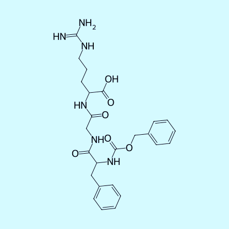 N=C(N)NCCCC(NC(=O)CNC(=O)C(Cc1ccccc1)NC(=O)OCc1ccccc1)C(=O)O